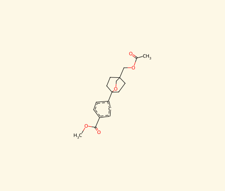 COC(=O)c1ccc(C23CCC(COC(C)=O)(CC2)CO3)cc1